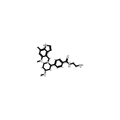 COc1cc(C)c2[nH]ccc2c1CN1CC[C@H](OC)CC1c1ccc(C(=O)NCCO)cc1